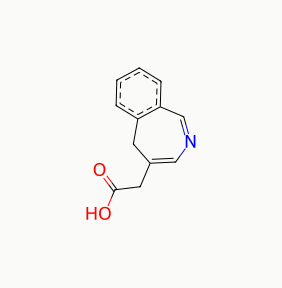 O=C(O)CC1=CN=Cc2ccccc2C1